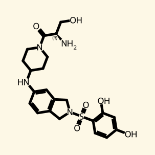 N[C@H](CO)C(=O)N1CCC(Nc2ccc3c(c2)CN(S(=O)(=O)c2ccc(O)cc2O)C3)CC1